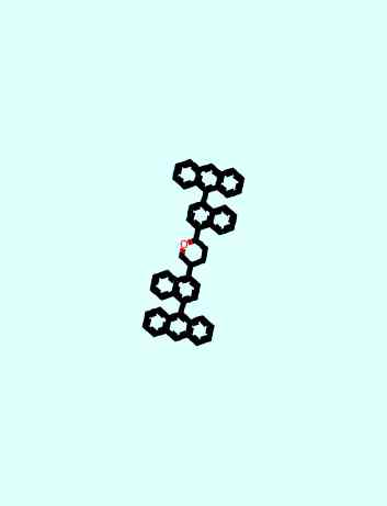 c1ccc2c(-c3ccc(C4CCC(c5ccc(-c6c7ccccc7cc7ccccc67)c6ccccc56)OC4)c4ccccc34)c3ccccc3cc2c1